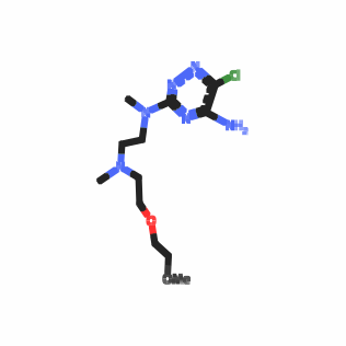 COCCOCCN(C)CCN(C)c1nnc(Cl)c(N)n1